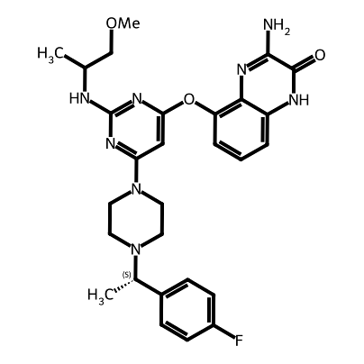 COCC(C)Nc1nc(Oc2cccc3[nH]c(=O)c(N)nc23)cc(N2CCN([C@@H](C)c3ccc(F)cc3)CC2)n1